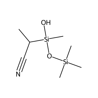 CC(C#N)[Si](C)(O)O[Si](C)(C)C